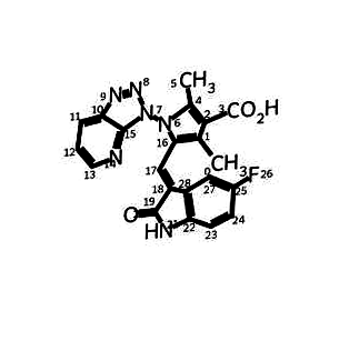 Cc1c(C(=O)O)c(C)n(-n2nnc3cccnc32)c1C=C1C(=O)Nc2ccc(F)cc21